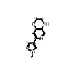 Cn1cc(-c2cc3c(cn2)NCCO3)cn1